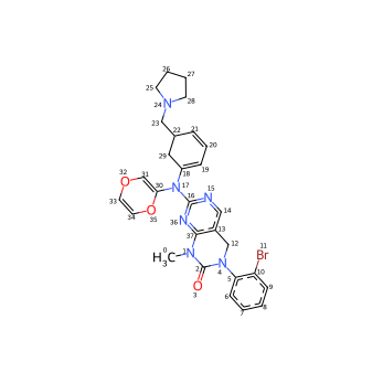 CN1C(=O)N(c2ccccc2Br)Cc2cnc(N(C3=CC=CC(CN4CCCC4)C3)C3=COC=CO3)nc21